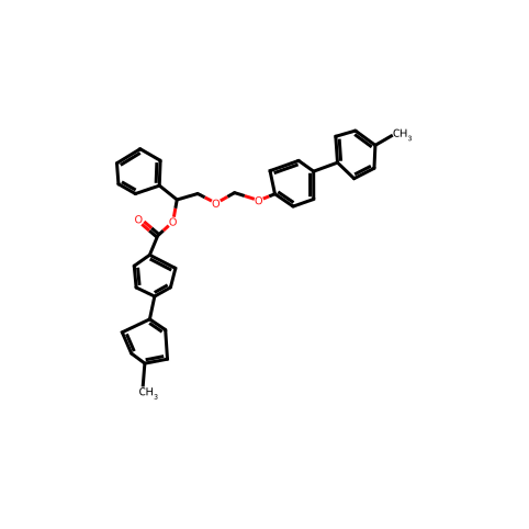 Cc1ccc(-c2ccc(OCOCC(OC(=O)c3ccc(-c4ccc(C)cc4)cc3)c3ccccc3)cc2)cc1